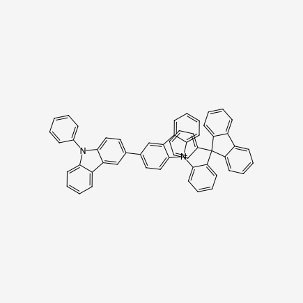 c1ccc(-n2c3ccccc3c3cc(-c4ccc5c(c4)c4ccccc4n5-c4ccccc4C4(c5ccccc5)c5ccccc5-c5ccccc54)ccc32)cc1